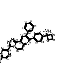 NC1(c2ccc(-c3nc4ccn5c(-c6cnc(O)cn6)nnc5c4cc3-c3ccccc3)cc2)CCC1